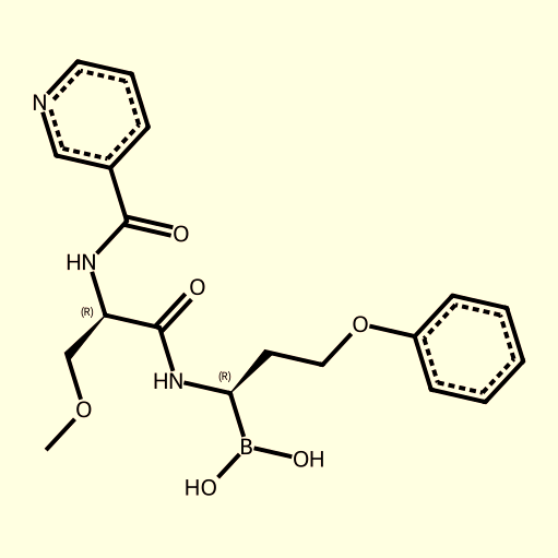 COC[C@@H](NC(=O)c1cccnc1)C(=O)N[C@@H](CCOc1ccccc1)B(O)O